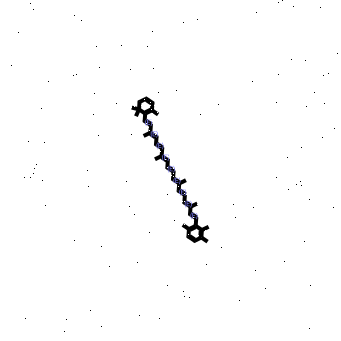 CC1=C(/C=C/C(C)=C/C=C/C(C)=C/C=C/C=C(C)/C=C/C=C(C)/C=C/c2c(C)ccc(C)c2C)C(C)(C)CC=C1